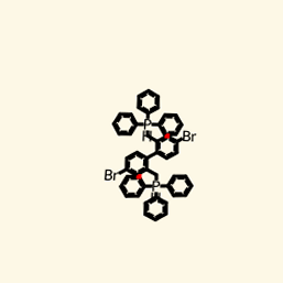 Brc1ccc(-c2ccc(Br)cc2C[PH](c2ccccc2)(c2ccccc2)c2ccccc2)c(C[PH](c2ccccc2)(c2ccccc2)c2ccccc2)c1